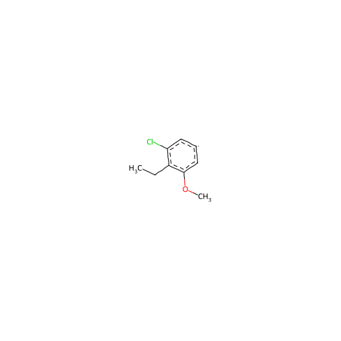 CCc1c(Cl)c[c]cc1OC